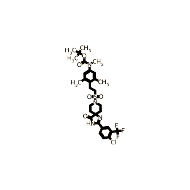 Cc1cc(N(C)C(=O)OC(C)(C)C)cc(C)c1CCS(=O)(=O)N1CCC2(CC1)N=C(c1ccc(Cl)c(C(F)(F)F)c1)NC2=O